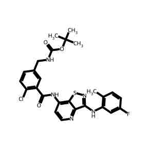 Cc1ccc(F)cc1Nc1nsc2c(NC(=O)c3cc(CNC(=O)OC(C)(C)C)ccc3Cl)ccnc12